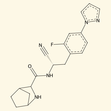 N#C[C@H](Cc1ccc(-n2cccn2)cc1F)NC(=O)C1NC2CCC1C2